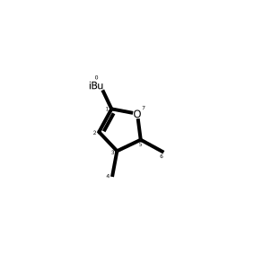 CCC(C)C1=CC(C)C(C)O1